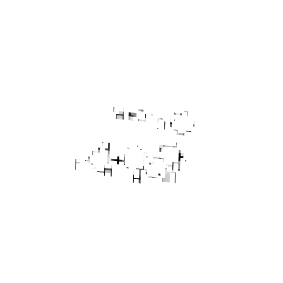 COCOc1ccccc1-c1cc2c(nn1)NC[C@H]1CN(c3ncc(I)cn3)CCN21